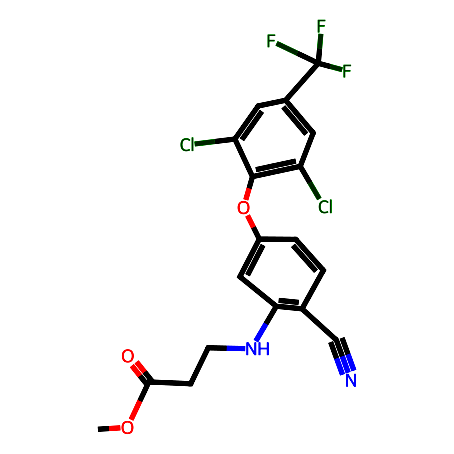 COC(=O)CCNc1cc(Oc2c(Cl)cc(C(F)(F)F)cc2Cl)ccc1C#N